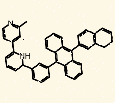 Cc1cc(C2=CC=CC(c3cccc(-c4c5ccccc5c(-c5ccc6c(c5)CCC=C6)c5ccccc45)c3)N2)ccn1